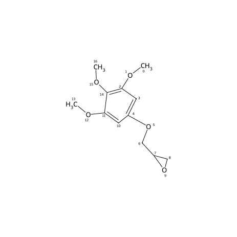 COc1cc(OCC2CO2)cc(OC)c1OC